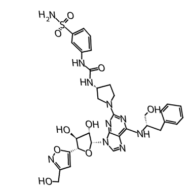 NS(=O)(=O)c1cccc(NC(=O)N[C@@H]2CCN(c3nc(N[C@H](CO)Cc4ccccc4)c4ncn([C@@H]5O[C@H](c6cc(CO)no6)[C@@H](O)[C@@H]5O)c4n3)C2)c1